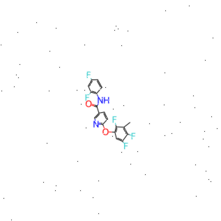 Cc1c(F)c(F)cc(Oc2ccc(C(=O)Nc3ccc(F)cc3F)cn2)c1F